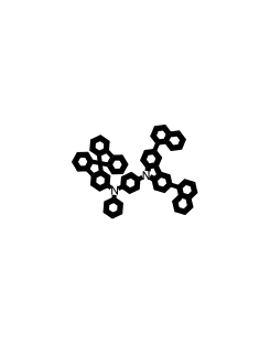 c1ccc(N(c2ccc(-n3c4ccc(-c5cccc6ccccc56)cc4c4cc(-c5cccc6ccccc56)ccc43)cc2)c2ccc3c(c2)C2(c4ccccc4-c4ccccc42)c2ccccc2-3)cc1